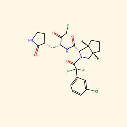 O=C1NCC[C@@H]1C[C@@H](NC(=O)[C@@H]1[C@@H]2CCC[C@@H]2CN1C(=O)C(F)(F)c1cccc(Cl)c1)C(=O)CF